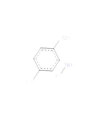 CCCc1ccc(OC)cc1.CCN